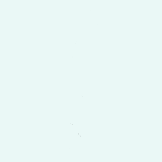 O=C(O)c1cnc2n1CCc1ccccc1C2=C1CCN(CCc2ccc(OCc3cccc4ccccc34)cc2)CC1